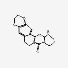 O=C1C2CCCNC2CC2c3cc4c(cc3CCN12)OCCO4